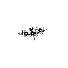 CSc1cc(C)[nH]c(=O)c1CNC(=O)c1cc(-c2ccsc2)c2c(c1C)OC(C)(C1CCC(N(C)C)CC1)O2